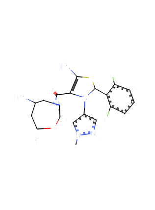 C[C@@H]1CC(N)CC[C@H](c2c(N3C(C(N)=O)=C(N)SC3c3c(F)cccc3F)cnn2C)O1